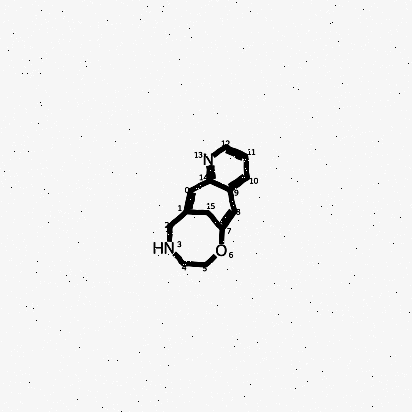 C1=C2CNCCOC(=Cc3cccnc31)C2